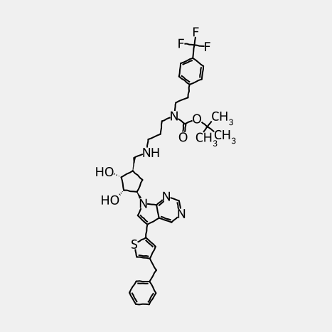 CC(C)(C)OC(=O)N(CCCNC[C@H]1C[C@@H](n2cc(-c3cc(Cc4ccccc4)cs3)c3cncnc32)[C@H](O)[C@@H]1O)CCc1ccc(C(F)(F)F)cc1